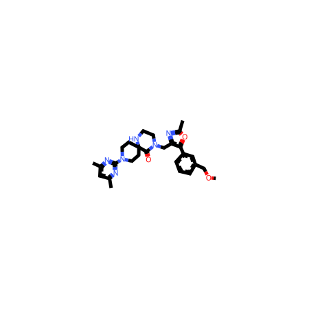 COCc1cccc(-c2oc(C)nc2CN2CCNC3(CCN(c4nc(C)cc(C)n4)CC3)C2=O)c1